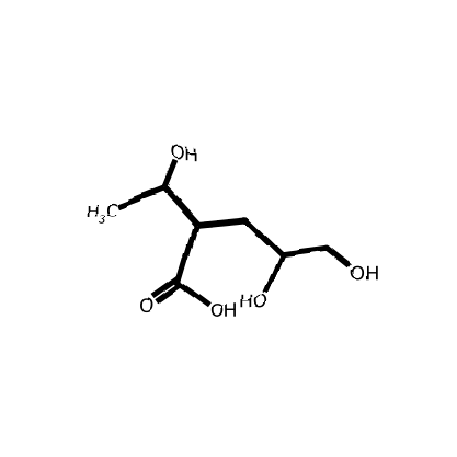 CC(O)C(CC(O)CO)C(=O)O